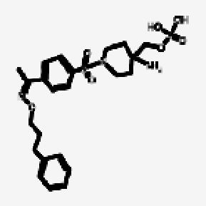 CC(=NOCCCc1ccccc1)c1ccc(S(=O)(=O)N2CCC(N)(COP(=O)(O)O)CC2)cc1